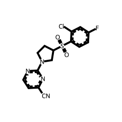 N#Cc1ccnc(N2CCC(S(=O)(=O)c3ccc(F)cc3Cl)C2)n1